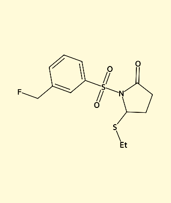 CCSC1CCC(=O)N1S(=O)(=O)c1cccc(CF)c1